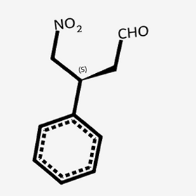 O=CC[C@H](C[N+](=O)[O-])c1ccccc1